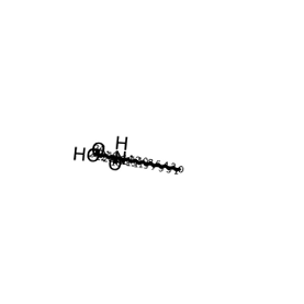 CCCCCCCCCCCCCCCCNC(=O)CCCCC(=O)O